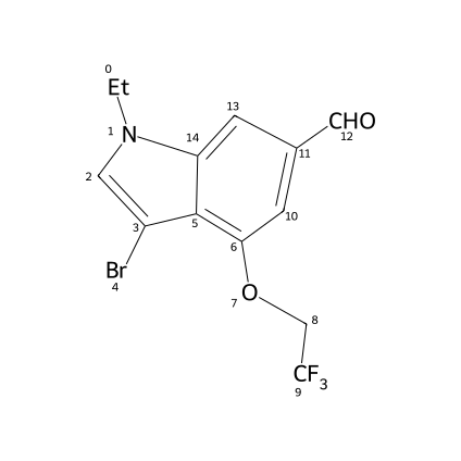 CCn1cc(Br)c2c(OCC(F)(F)F)cc(C=O)cc21